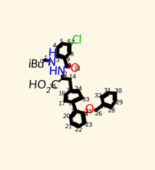 CCC(C)CNc1ccc(Cl)cc1C(=O)N[C@@H](Cc1ccc(-c2ccccc2OCc2ccccc2)cc1)C(=O)O